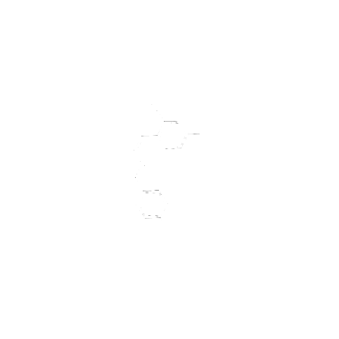 Fc1ccc(CS/C=C\c2ccc(Cl)cc2Cl)cc1